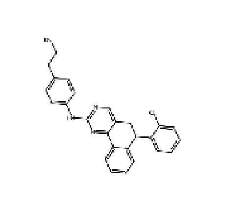 OCCc1ccc(Nc2ncc3c(n2)-c2ccccc2C(c2ccccc2Cl)C3)cc1